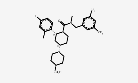 Cc1cc(F)ccc1[C@H]1C[C@@H](N2CCN(C(=O)O)CC2)CCN1C(=O)N(C)Cc1cc(C(F)(F)F)cc(C(F)(F)F)c1